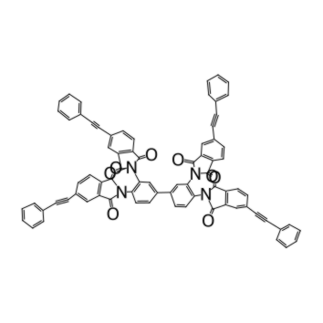 O=C1c2ccc(C#Cc3ccccc3)cc2C(=O)N1c1ccc(-c2ccc(N3C(=O)c4ccc(C#Cc5ccccc5)cc4C3=O)c(N3C(=O)c4ccc(C#Cc5ccccc5)cc4C3=O)c2)cc1N1C(=O)c2ccc(C#Cc3ccccc3)cc2C1=O